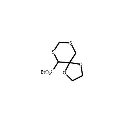 CCOC(=O)C1SCSCC12OCCO2